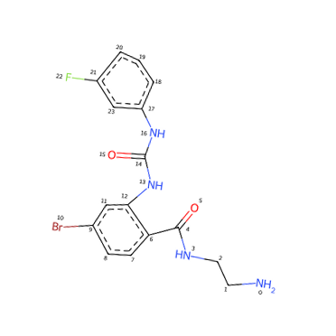 NCCNC(=O)c1ccc(Br)cc1NC(=O)Nc1cccc(F)c1